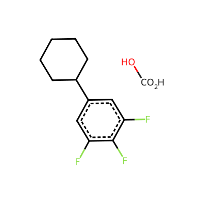 Fc1cc(C2CCCCC2)cc(F)c1F.O=C(O)O